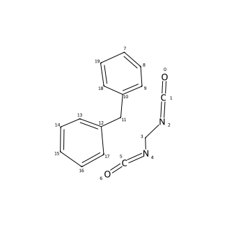 O=C=NCN=C=O.c1ccc(Cc2ccccc2)cc1